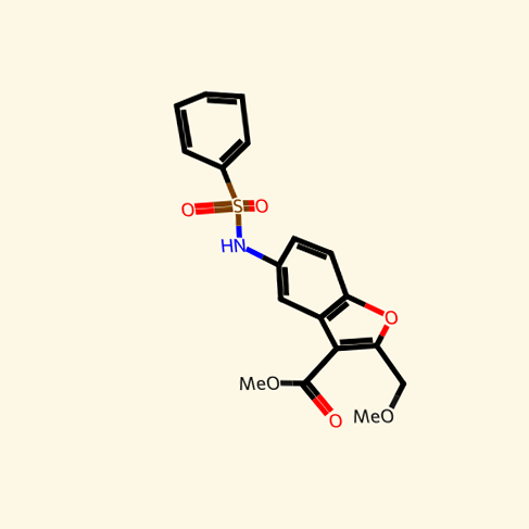 COCc1oc2ccc(NS(=O)(=O)c3ccccc3)cc2c1C(=O)OC